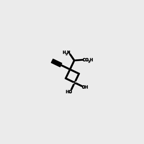 C#CC1(C(N)C(=O)O)CS(O)(O)C1